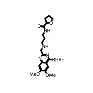 COc1cc2nc(CNCCCNC(=O)C3CCCO3)nc(NC(C)=O)c2cc1OC